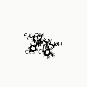 CC(O)c1nc(Cn2nc(-c3ccc(Cl)cc3)n(C[C@H](O)C(F)(F)F)c2=O)nn1-c1cc(F)ccc1Cl